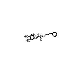 N/C(=C\c1ccc(O)c(O)c1)C(=O)NCCCCc1ccccc1